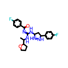 CC(N/C(=N/C(=O)c1ccc(F)cc1)NC1CC(c2ccc(F)cc2)NN1)C1CCCO1